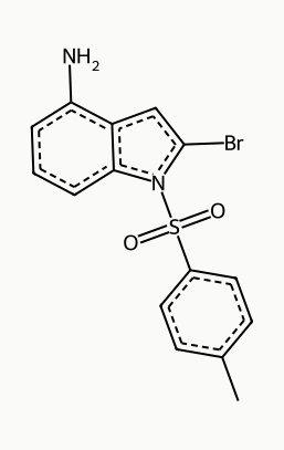 Cc1ccc(S(=O)(=O)n2c(Br)cc3c(N)cccc32)cc1